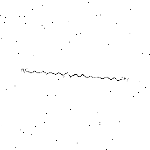 [CH2]CCCCCCCCCCCCCCSCCCCCCCCC